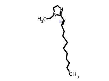 CCCCCCCCC/C=C/C1=NCCN1CC